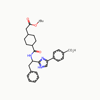 CC(C)(C)OC(=O)CC1CCC(C(=O)NC(Cc2ccccc2)c2nc(-c3ccc(C(=O)O)cc3)c[nH]2)CC1